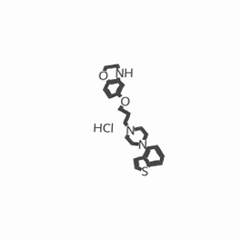 Cl.c1cc(N2CCN(CCCOc3ccc4c(c3)NCCO4)CC2)c2ccsc2c1